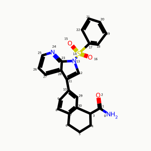 NC(=O)C1CCCc2ccc(-c3cn(S(=O)(=O)c4ccccc4)c4ncccc34)cc21